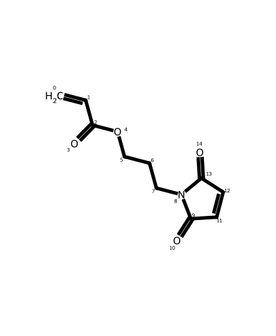 C=CC(=O)OCCCN1C(=O)C=CC1=O